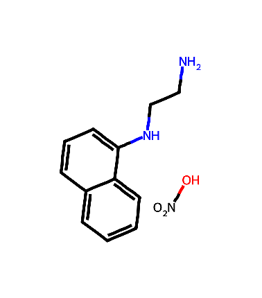 NCCNc1cccc2ccccc12.O=[N+]([O-])O